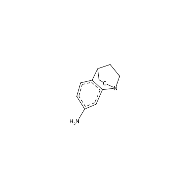 Nc1ccc2c(c1)N1CCC2CC1